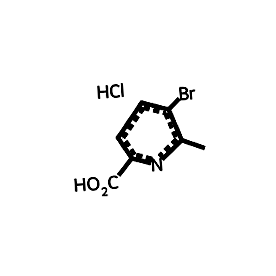 Cc1nc(C(=O)O)ccc1Br.Cl